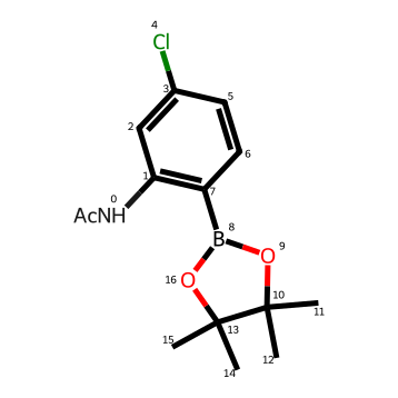 CC(=O)Nc1cc(Cl)ccc1B1OC(C)(C)C(C)(C)O1